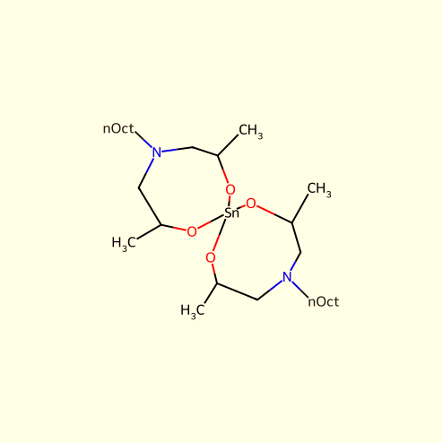 CCCCCCCCN1CC(C)[O][Sn]2([O]C(C)C1)[O]C(C)CN(CCCCCCCC)CC(C)[O]2